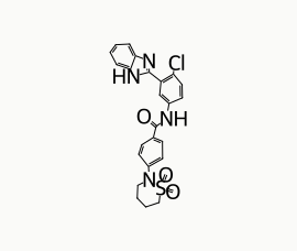 O=C(Nc1ccc(Cl)c(-c2nc3ccccc3[nH]2)c1)c1ccc(N2CCCCS2(=O)=O)cc1